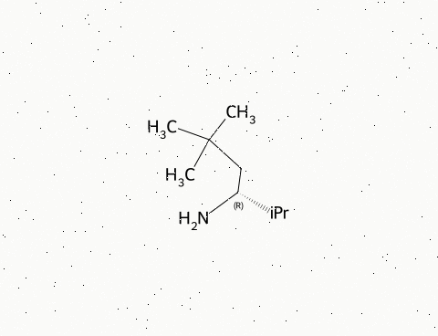 CC(C)[C@H](N)CC(C)(C)C